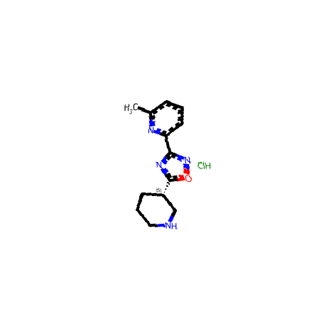 Cc1cccc(-c2noc([C@H]3CCCNC3)n2)n1.Cl